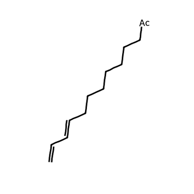 C=CC=CCCCCCCCC(C)=O